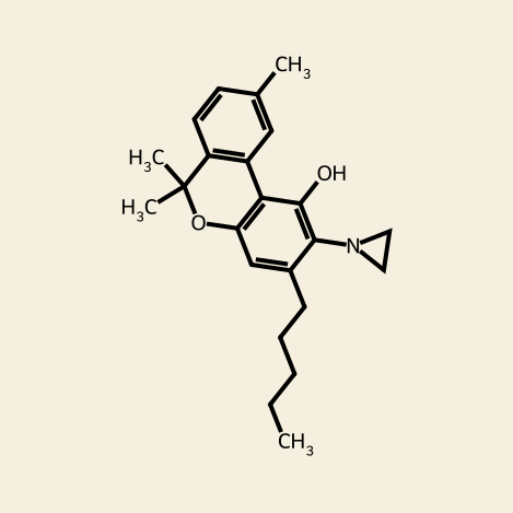 CCCCCc1cc2c(c(O)c1N1CC1)-c1cc(C)ccc1C(C)(C)O2